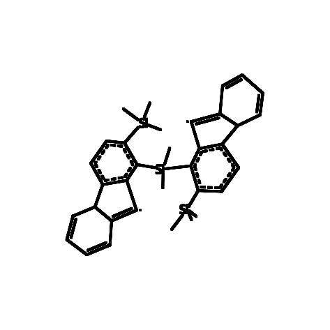 C[Si](C)(C)c1ccc2c(c1[Si](C)(C)c1c([Si](C)(C)C)ccc3c1[C]=C1C=CC=CC13)[C]=C1C=CC=CC12